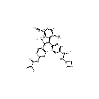 C=C(F)C(=O)Nc1ccc(-c2c(-c3ccc(C(=O)NC4CCC4)cc3)c3c(N)ncc(C#N)c3n2C)cc1